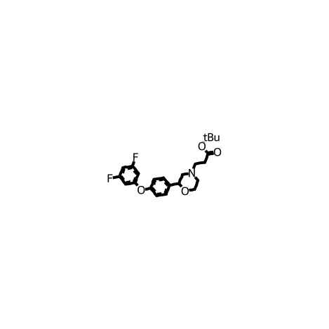 CC(C)(C)OC(=O)CCN1CCOC(c2ccc(Oc3cc(F)cc(F)c3)cc2)C1